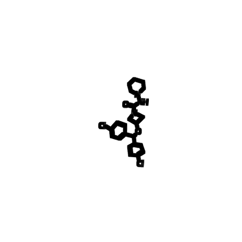 O=C(NN1CCCCC1)N1CC(OC(c2ccc(Cl)cc2)c2ccc(Cl)cc2)C1